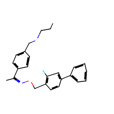 C/C(=N/OCc1ccc(-c2ccccc2)cc1F)c1ccc(CNCCC(=O)O)cc1